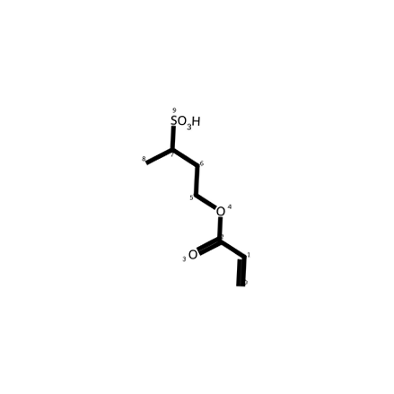 C=CC(=O)OCCC(C)S(=O)(=O)O